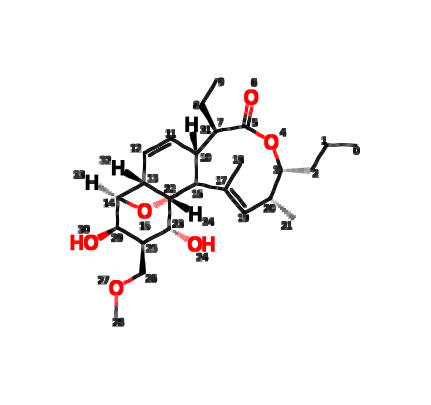 CCC[C@H]1OC(=O)[C@H](CC)[C@H]2C=C[C@H]3[C@H]4O[C@]2(/C(C)=C/[C@H]1C)[C@@H]3[C@H](O)[C@@H](COC)[C@H]4O